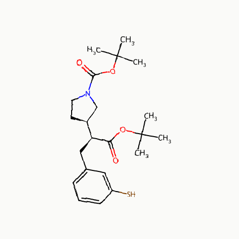 CC(C)(C)OC(=O)[C@@H](Cc1cccc(S)c1)[C@H]1CCN(C(=O)OC(C)(C)C)C1